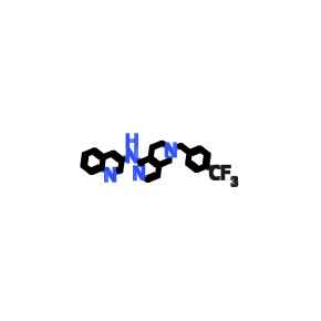 FC(F)(F)c1ccc(CN2CCc3c(ccnc3Nc3cnc4ccccc4c3)C2)cc1